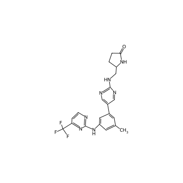 Cc1cc(Nc2nccc(C(F)(F)F)n2)cc(-c2cnc(NCC3CCC(=O)N3)nc2)c1